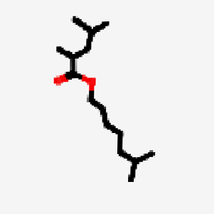 CC(C)CCCCCOC(=O)C(C)CC(C)C